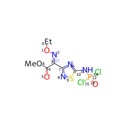 CCO/N=C(\C(=O)OC)c1nsc(NP(=O)(Cl)Cl)n1